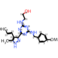 COc1ccc(CNc2nc(NCCO)nc(-c3n[nH]c(C)c3C=CC=O)n2)cc1